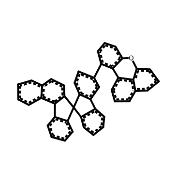 c1ccc2c(c1)-c1cc(-c3cccc4c3-c3cccc5cccc(c35)O4)ccc1C21c2ccccc2-c2c1ccc1ccccc21